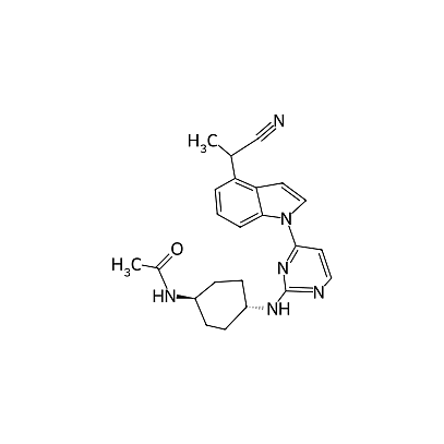 CC(=O)N[C@H]1CC[C@H](Nc2nccc(-n3ccc4c(C(C)C#N)cccc43)n2)CC1